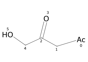 CC(=O)CC(=O)CO